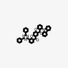 O=c1c2cc3c(=O)c4c(-n5c6ccccc6c6ccccc65)cccc4oc3cc2oc2c(-c3nc(-c4ccccc4)nc(-c4ccccc4)n3)cccc12